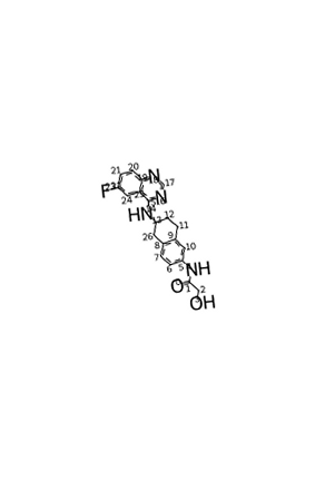 O=C(CO)Nc1ccc2c(c1)CCC(Nc1ncnc3ccc(F)cc13)C2